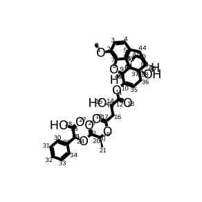 COc1ccc2c3c1O[C@@H]1C(OC(=O)[C@@H](O)CC(=O)O[C@@H](C)C(=O)O[C@H](C(=O)O)c4ccccc4)=CC[C@]4(O)[C@@H](CCC[C@@]314)C2